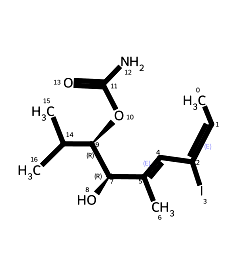 C/C=C(I)\C=C(/C)[C@@H](O)[C@H](OC(N)=O)C(C)C